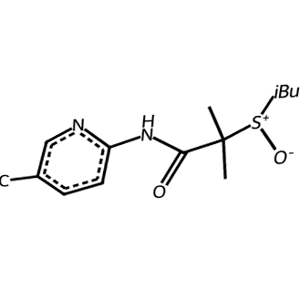 CCC(C)[S+]([O-])C(C)(C)C(=O)Nc1ccc(C(F)(F)F)cn1